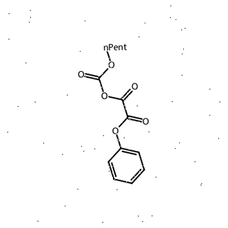 CCCCCOC(=O)OC(=O)C(=O)Oc1ccccc1